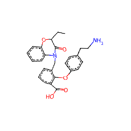 CCC1Oc2ccccc2N(Cc2cccc(C(=O)O)c2Oc2ccc(CCN)cc2)C1=O